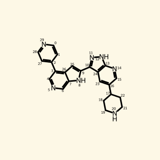 c1cc(-c2cncc3[nH]c(-c4n[nH]c5ncc(C6CCNCC6)cc45)cc23)ccn1